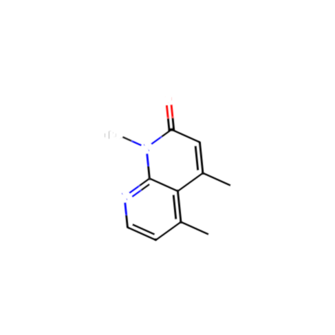 Cc1ccnc2c1c(C)cc(=O)n2C(C)(C)C